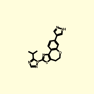 CC(C)c1ncnn1-c1nc2c(s1)CCOc1cc(-c3cn[nH]c3)ccc1-2